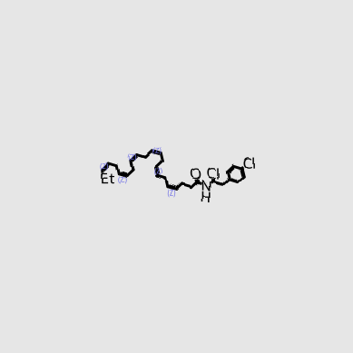 CC/C=C\C/C=C\C/C=C\C/C=C\C/C=C\C/C=C\CCC(=O)NC(Cl)Cc1ccc(Cl)cc1